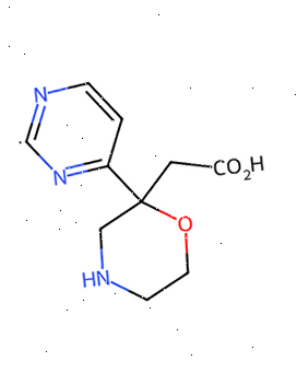 O=C(O)CC1(c2ccn[c]n2)CNCCO1